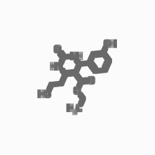 CCOC(=O)C1=C(CCO)NC(=O)NC1c1cccc(O)c1